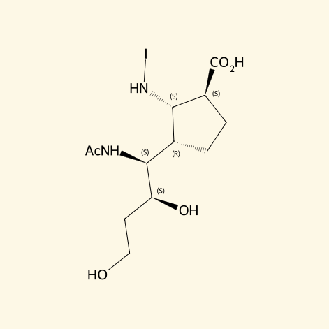 CC(=O)N[C@@H]([C@H]1CC[C@H](C(=O)O)[C@H]1NI)[C@@H](O)CCO